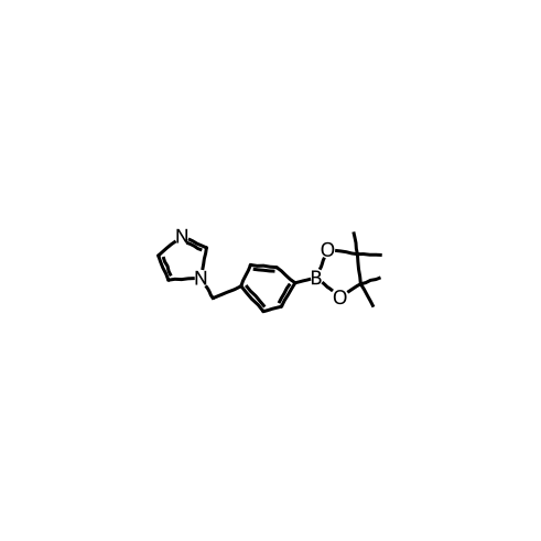 CC1(C)OB(c2ccc(Cn3ccnc3)cc2)OC1(C)C